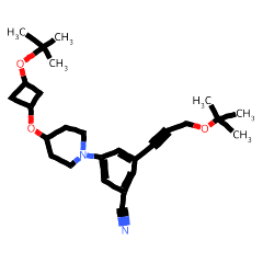 CC(C)(C)OCC#Cc1cc(C#N)cc(N2CCC(OC3CC(OC(C)(C)C)C3)CC2)c1